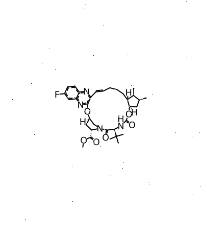 COC(=O)[C@@H]1C[C@@H]2CN1C(=O)[C@H](C(C)(C)C)NC(=O)O[C@@H]1C[C@H](C)[C@H](C)[C@H]1CCC/C=C/c1nc3ccc(F)cc3nc1O2